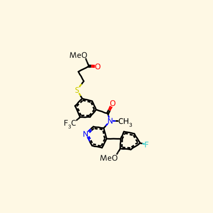 COC(=O)CCSc1cc(C(=O)N(C)c2cnccc2-c2ccc(F)cc2OC)cc(C(F)(F)F)c1